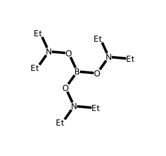 CCN(CC)OB(ON(CC)CC)ON(CC)CC